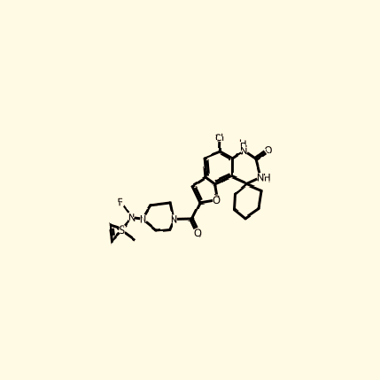 CS1(N(F)N2CCN(C(=O)c3cc4cc(Cl)c5c(c4o3)C3(CCCCC3)NC(=O)N5)CC2)C=C1